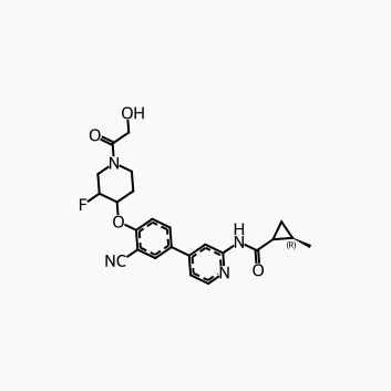 C[C@@H]1CC1C(=O)Nc1cc(-c2ccc(OC3CCN(C(=O)CO)CC3F)c(C#N)c2)ccn1